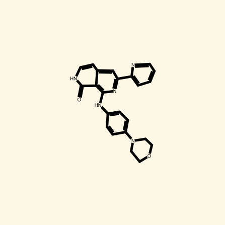 O=c1[nH]ccc2cc(-c3ccccn3)nc(Nc3ccc(N4CCOCC4)cc3)c12